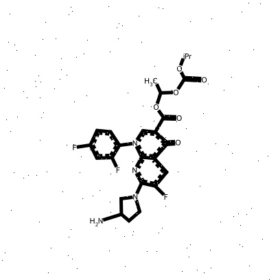 CC(C)OC(=O)OC(C)OC(=O)c1cn(-c2ccc(F)cc2F)c2nc(N3CCC(N)C3)c(F)cc2c1=O